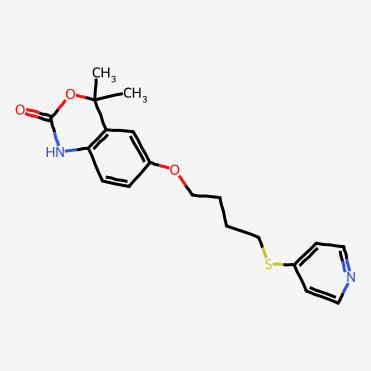 CC1(C)OC(=O)Nc2ccc(OCCCCSc3ccncc3)cc21